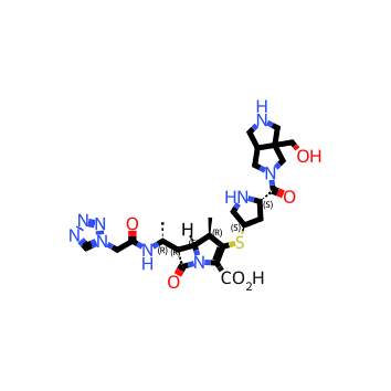 C[C@@H](NC(=O)Cn1cnnn1)[C@H]1C(=O)N2C(C(=O)O)=C(S[C@@H]3CN[C@H](C(=O)N4CC5CNCC5(CO)C4)C3)[C@H](C)[C@H]12